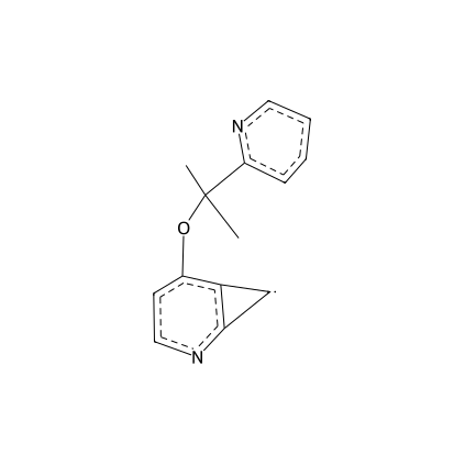 CC(C)(Oc1ccnc2c1[CH]2)c1ccccn1